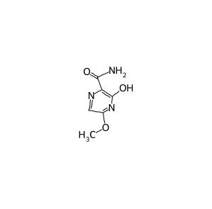 COc1cnc(C(N)=O)c(O)n1